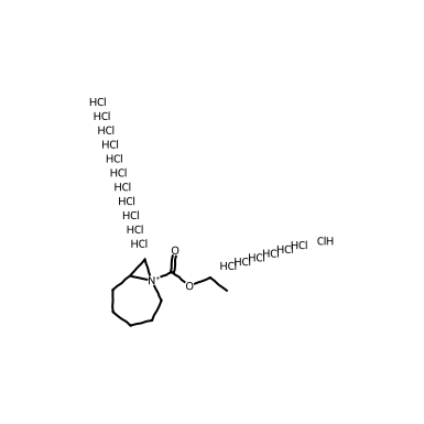 CCOC(=O)[N+]12CCCCCC1C2.Cl.Cl.Cl.Cl.Cl.Cl.Cl.Cl.Cl.Cl.Cl.Cl.Cl.Cl.Cl.Cl.Cl.Cl